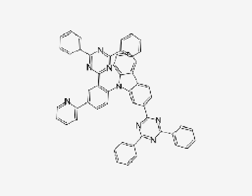 c1ccc(-c2nc(-c3ccccc3)nc(-c3ccc4c5ccccc5n(-c5ccc(-c6ccccn6)cc5-c5nc(-c6ccccc6)nc(-c6ccccc6)n5)c4c3)n2)cc1